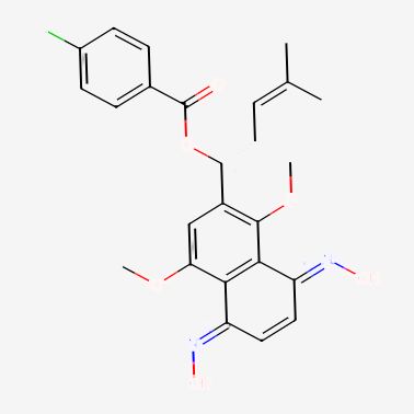 COc1cc([C@@H](CC=C(C)C)OC(=O)c2ccc(Cl)cc2)c(OC)c2c1/C(=N/O)C=C/C2=N\O